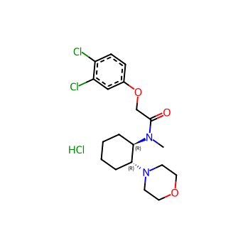 CN(C(=O)COc1ccc(Cl)c(Cl)c1)[C@@H]1CCCC[C@H]1N1CCOCC1.Cl